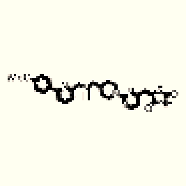 COc1ccc(-c2cccc(CNCC3CCN(c4nccc(/C=C5/SC(=O)NC5=O)n4)CC3)n2)cc1